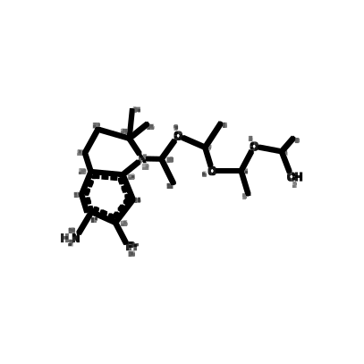 CC(O)OC(C)OC(C)OC(C)N1c2cc(C(C)C)c(N)cc2CCC1(C)C